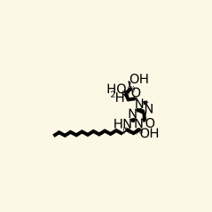 [2H][C@]1(O)CC(n2cnc3c(=O)n4c(nc32)N[C@H](CCCCCCCCCCCCC)C[C@H]4O)O[C@@H]1CO